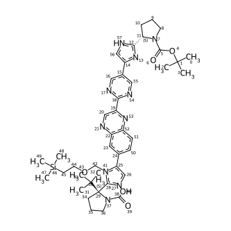 CC(C)(C)OC(=O)N1CCC[C@H]1c1nc(-c2cnc(-c3cnc4cc(-c5cnc([C@@]6(C(C)(C)C)CCCN6C(=O)O)n5COCC[Si](C)(C)C)ccc4n3)nc2)c[nH]1